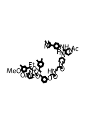 CC[C@H](C(=O)N1CCCC[C@H]1C(=O)O[C@H](CCc1ccc(C)c(C)c1)c1cccc(OCC(=O)NCCC(=O)N2CCC(n3nc(Nc4ccc(-c5cnn(C)c5)cc4F)c4c3CCN(C(C)=O)C4)CC2)c1)c1cc(C)c(OC)c(OC)c1